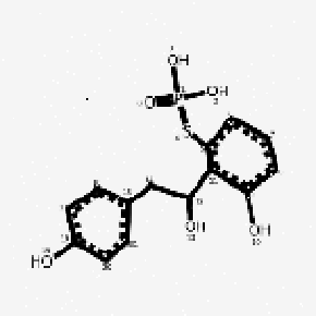 O=P(O)(O)Sc1cccc(O)c1C(O)Cc1ccc(O)cc1